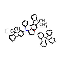 CC1(C)c2ccccc2-c2ccc(N(c3ccc(-c4ccc5c(c4)-c4ccccc4C5(c4ccccc4)c4ccccc4)cc3)c3ccccc3-c3cccc4c3-c3ccccc3C4(C)C)cc21